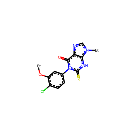 CCOc1cc(-n2c(=S)[nH]c3c(ncn3CC)c2=O)ccc1Cl